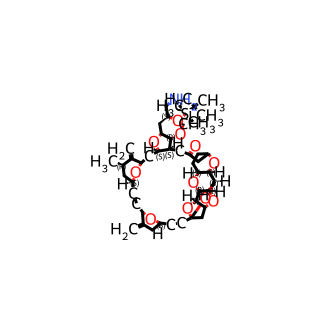 C=C1C[C@@H]2CCC34CC5O[C@H]6[C@@H](O3)[C@H]3OC(CC[C@@H]3O[C@H]6[C@H]5O4)CC(=O)C[C@H]3[C@H](CC4O[C@@H](CCC1O2)C[C@@H](C)C4=C)OC(C[C@@H](CN)O[Si](C)(C)C(C)(C)C)[C@@H]3OC